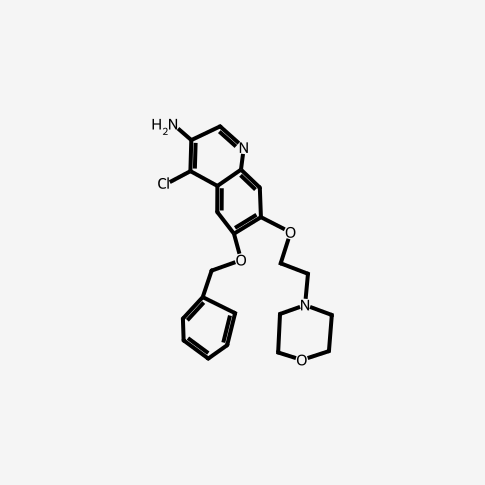 Nc1cnc2cc(OCCN3CCOCC3)c(OCc3ccccc3)cc2c1Cl